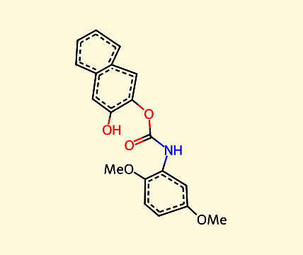 COc1ccc(OC)c(NC(=O)Oc2cc3ccccc3cc2O)c1